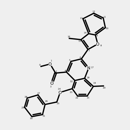 COC(=O)c1cc(-c2oc3ccccc3c2C)nc2c(C)ccc(OCc3ccccc3)c12